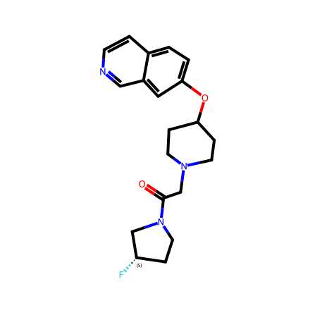 O=C(CN1CCC(Oc2ccc3ccncc3c2)CC1)N1CC[C@H](F)C1